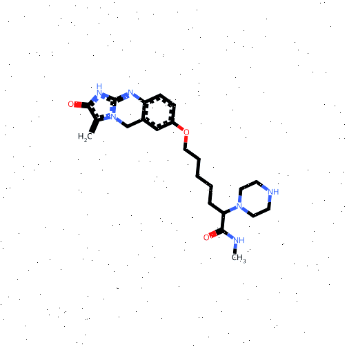 C=c1c(=O)[nH]c2n1Cc1cc(OCCCCCC(C(=O)NC)N3CCNCC3)ccc1N=2